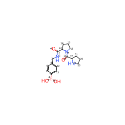 O=C(NCc1ccc(B(O)O)cc1)C1CCCN1C(=O)C1CCCN1